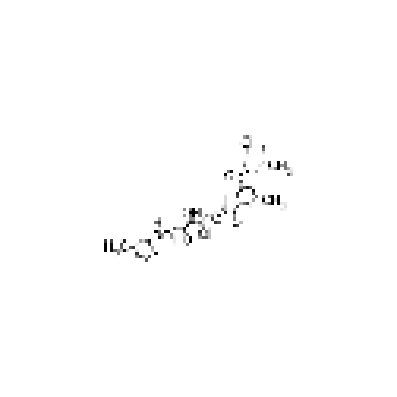 CCCN(CCC)C(=O)c1cc(C)cc(C(=O)NOC[C@H](O)[C@H](O)C(O)CONc2cc(C)ccn2)c1